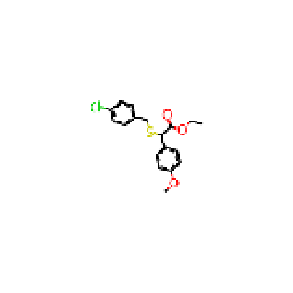 CCOC(=O)C(SCc1ccc(Cl)cc1)c1ccc(OC)cc1